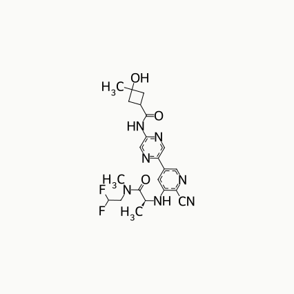 C[C@H](Nc1cc(-c2cnc(NC(=O)C3CC(C)(O)C3)cn2)cnc1C#N)C(=O)N(C)CC(F)F